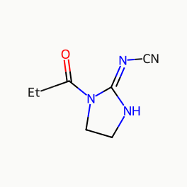 CCC(=O)N1CCN/C1=N\C#N